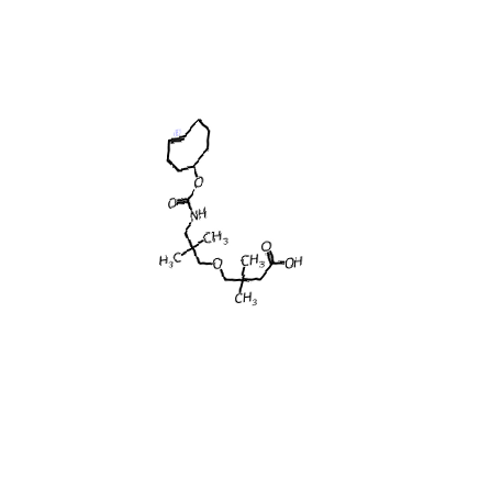 CC(C)(CNC(=O)OC1CC/C=C/CCC1)COCC(C)(C)CC(=O)O